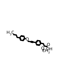 CCCCc1ccc(OCC#Cc2ccc(CC(OC)C(=O)O)cc2)cc1